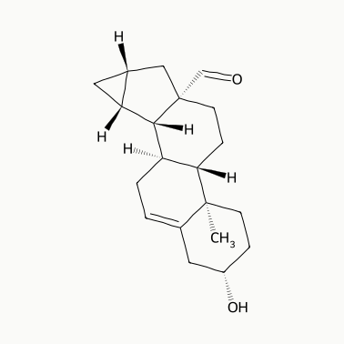 C[C@]12CC[C@H](O)CC1=CC[C@H]1[C@@H]3[C@@H]4C[C@@H]4C[C@@]3(C=O)CC[C@@H]12